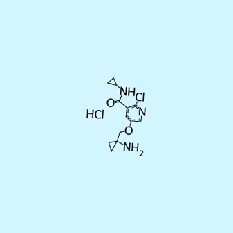 Cl.NC1(COc2cnc(Cl)c(C(=O)NC3CC3)c2)CC1